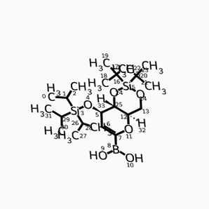 CC(C)[Si](O[C@@H]1C=C(B(O)O)O[C@@H]2CO[Si](C(C)(C)C)(C(C)(C)C)O[C@@H]12)(C(C)C)C(C)C